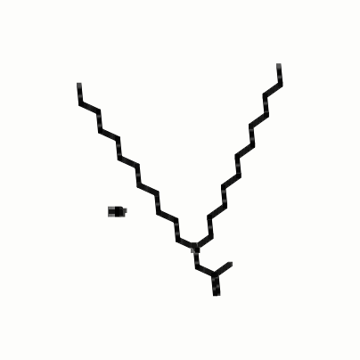 Br.C=C(C)CN(CCCCCCCCCCCC)CCCCCCCCCCCC